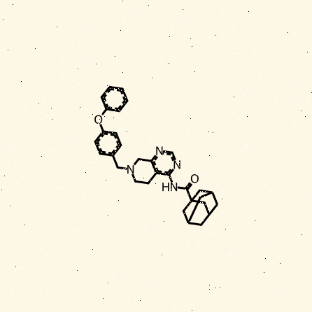 O=C(Nc1ncnc2c1CCN(Cc1ccc(Oc3ccccc3)cc1)C2)C12CC3CC(CC(C3)C1)C2